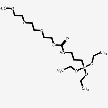 CCO[Si](CCCNC(=O)OCCOCCOCCOC)(OCC)OCC